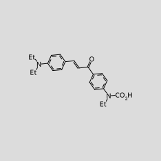 CCN(CC)c1ccc(C=CC(=O)c2ccc(N(CC)C(=O)O)cc2)cc1